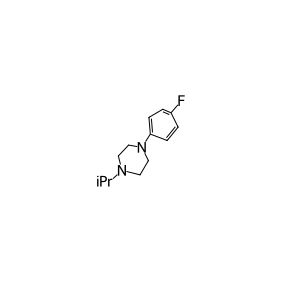 CC(C)N1CCN(c2ccc(F)cc2)CC1